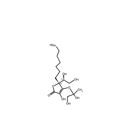 CCCCCCCCCCCCCCCC[C@]1([C@@H](O)CO)OC(=O)C(O)=C1OC(C)(O)CO